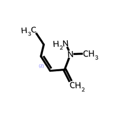 C=C(/C=C\CC)N(C)N